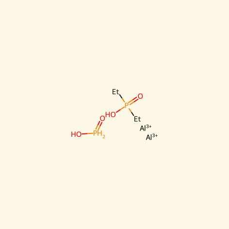 CCP(=O)(O)CC.O=[PH2]O.[Al+3].[Al+3]